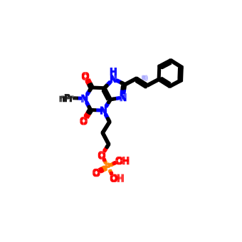 CCCn1c(=O)c2[nH]c(/C=C/c3ccccc3)nc2n(CCCOP(=O)(O)O)c1=O